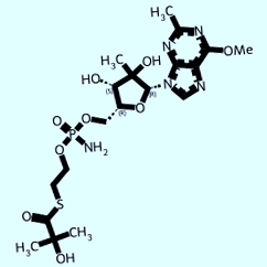 COc1nc(C)nc2c1ncn2[C@@H]1O[C@H](COP(N)(=O)OCCSC(=O)C(C)(C)O)[C@H](O)C1(C)O